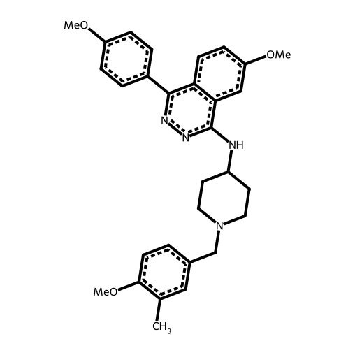 COc1ccc(-c2nnc(NC3CCN(Cc4ccc(OC)c(C)c4)CC3)c3cc(OC)ccc23)cc1